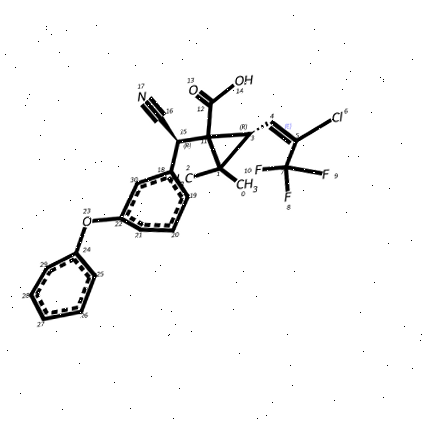 CC1(C)[C@@H](/C=C(/Cl)C(F)(F)F)C1(C(=O)O)[C@H](C#N)c1cccc(Oc2ccccc2)c1